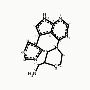 NCC1CN(c2ncnc3[nH]cc(-c4cncnc4)c23)CCO1